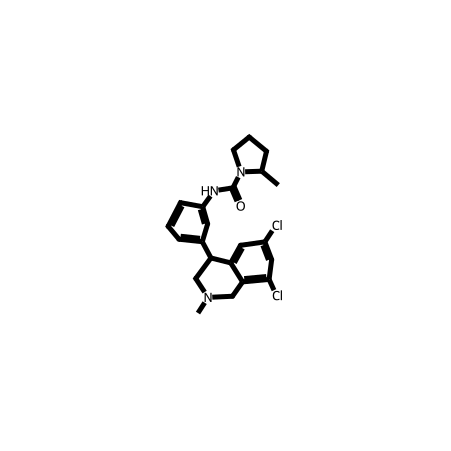 CC1CCCN1C(=O)Nc1cccc(C2CN(C)Cc3c(Cl)cc(Cl)cc32)c1